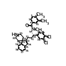 Cc1ccc(C(=O)N(C)C[C@@H](CCC2=Cc3ccccc3C23CCNCC3)c2ccc(Cl)c(Cl)c2)cc1C